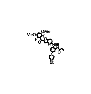 C=CC(=O)Nc1cc(N2CCN(CC)CC2)ccc1Nc1ncc2oc(C(=O)c3c(F)c(OC)cc(OC)c3F)cc2n1